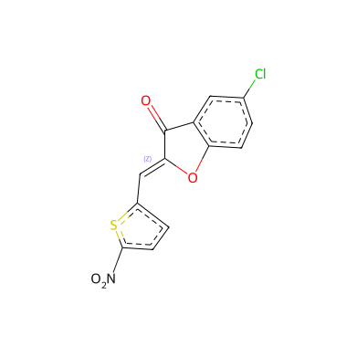 O=C1/C(=C/c2ccc([N+](=O)[O-])s2)Oc2ccc(Cl)cc21